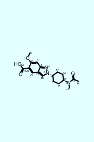 COc1cc2nn([C@H]3CC[C@H](N(C)C(C)=O)CC3)cc2cc1C(=O)O